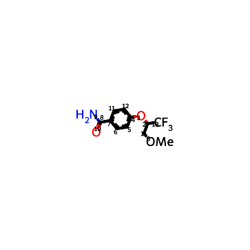 COCC(Oc1ccc(C(N)=O)cc1)C(F)(F)F